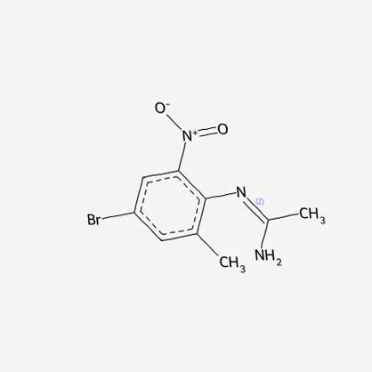 C/C(N)=N/c1c(C)cc(Br)cc1[N+](=O)[O-]